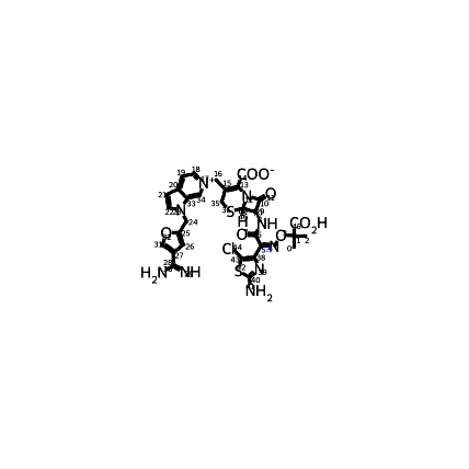 CC(C)(O/N=C(\C(=O)N[C@@H]1C(=O)N2C(C(=O)[O-])=C(C[n+]3ccc4ccn(Cc5cc(C(=N)N)co5)c4c3)CS[C@H]12)c1nc(N)sc1Cl)C(=O)O